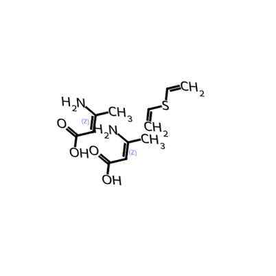 C/C(N)=C/C(=O)O.C/C(N)=C/C(=O)O.C=CSC=C